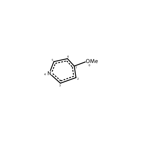 [CH2]Oc1ccncc1